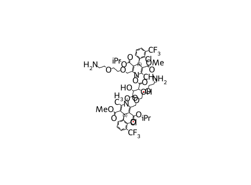 COC(=O)C1=C(C)N(OC(=O)C(O)C(O)C(=O)ON2C(C)=C(C(=O)OC)[C@H](c3cccc(C(F)(F)F)c3Cl)C(C(=O)OC(C)C)=C2COCCOCCN)C(COCCOCCN)=C(C(=O)OC(C)C)[C@H]1c1cccc(C(F)(F)F)c1Cl